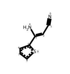 N#C/C=C(\N)c1cccs1